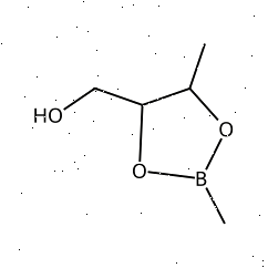 CB1OC(C)C(CO)O1